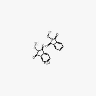 CCON1C(=O)c2ccccc2C1=O.CCON1C(=O)c2ccccc2C1=O.O